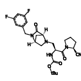 CC(C)(C)OC(=O)N[C@@H](CN1C[C@@H]2C[C@H]1C(=O)N2Cc1cc(F)cc(F)c1)C(=O)N1CCC[C@H]1C#N